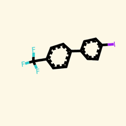 FC(F)(F)c1ccc(-c2ccc(I)cc2)cc1